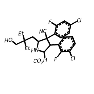 CCC(CC)(CO)CC1NC(C(=O)O)C(c2cccc(Cl)c2F)C1(C#N)c1ccc(Cl)cc1F